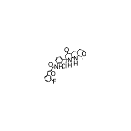 C[C@@H]1C[C@H](CC2C(=N)N[C@](C)(c3cccc(NC(=O)c4cc5cccc(F)c5o4)c3Cl)CC2=O)CCO1